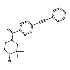 C=C(c1ncc(C#Cc2ccccc2)cn1)N1CCC(O)C(C)(C)C1